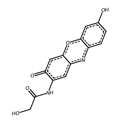 O=C(CO)Nc1cc2nc3ccc(O)cc3oc-2cc1=O